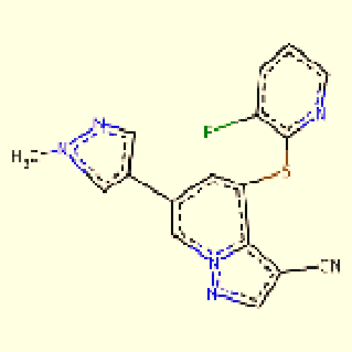 Cn1cc(-c2cc(Sc3ncccc3F)c3c(C#N)cnn3c2)cn1